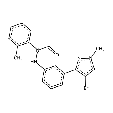 Cc1ccccc1N(C=O)Nc1cccc(-c2nn(C)cc2Br)c1